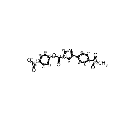 CS(=O)(=O)c1ccc(-c2cn(C(=O)Oc3ccc([N+](=O)[O-])cc3)cn2)cc1